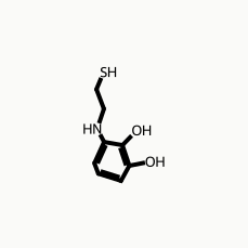 Oc1cccc(NCCS)c1O